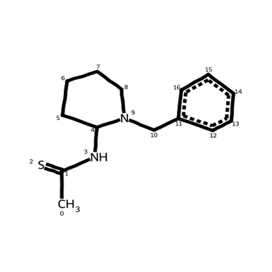 CC(=S)NC1CCCCN1Cc1ccccc1